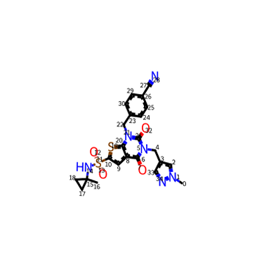 Cn1cc(Cn2c(=O)c3cc(S(=O)(=O)NC4(C)CC4)sc3n(Cc3ccc(C#N)cc3)c2=O)cn1